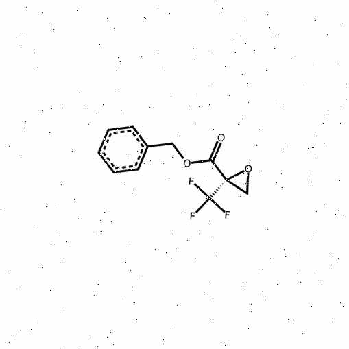 O=C(OCc1ccccc1)[C@]1(C(F)(F)F)CO1